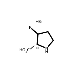 Br.O=C(O)[C@H]1NCCC1F